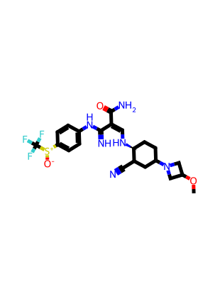 COC1CN(C2CC[C@H](N/C=C(\C(=N)Nc3ccc([S+]([O-])C(F)(F)F)cc3)C(N)=O)C(C#N)C2)C1